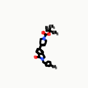 Cc1ccc(CN2Cc3cc(C4=CCN(C(=O)OC(C)(C)C)CC4)ccc3C2=O)cc1